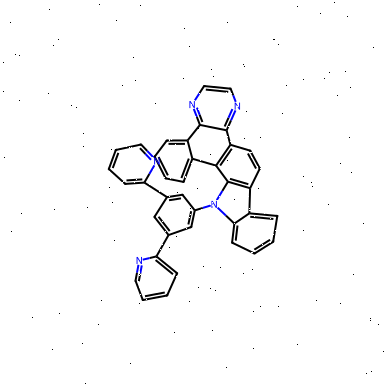 c1ccc(-c2cc(-c3ccccn3)cc(-n3c4ccccc4c4ccc5c6nccnc6c6ccccc6c5c43)c2)nc1